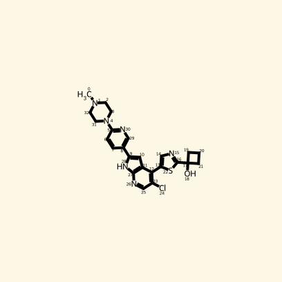 CN1CCN(c2ccc(-c3cc4c(-c5cnc(C6(O)CCC6)s5)c(Cl)cnc4[nH]3)cn2)CC1